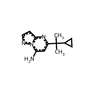 CC(C)(c1cc(N)n2nccc2n1)C1CC1